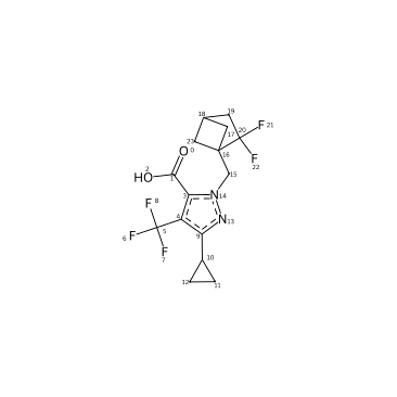 O=C(O)c1c(C(F)(F)F)c(C2CC2)nn1CC12CC(CC1(F)F)C2